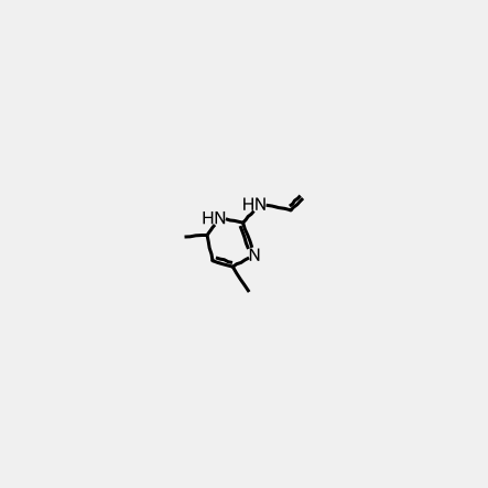 C=CNC1=NC(C)=CC(C)N1